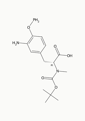 CN(C(=O)OC(C)(C)C)[C@H](Cc1ccc(OP)c(N)c1)C(=O)O